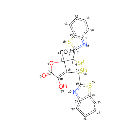 O=C1OC(C(=O)O)(C(S)c2nc3ccccc3s2)C(C(S)c2nc3ccccc3s2)=C1O